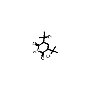 CCC(C)(C)C1CC(C(C)(C)CC)C(=O)NC1=O